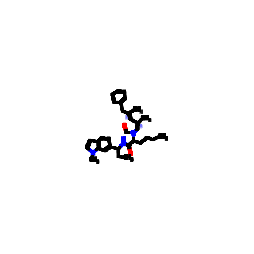 CCCCC(C(=O)NC(CC)c1ccc2ccn(C)c2c1)N(C=O)/C=C(C)\C=C(/C)Cc1ccccc1